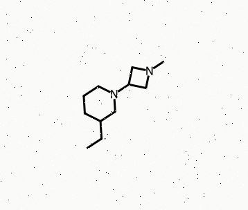 C[CH]C1CCCN(C2CN(C)C2)C1